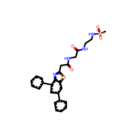 CS(=O)(=O)NCCNC(=O)CNC(=O)Cc1nc2c(-c3ccccc3)cc(-c3ccccc3)cc2s1